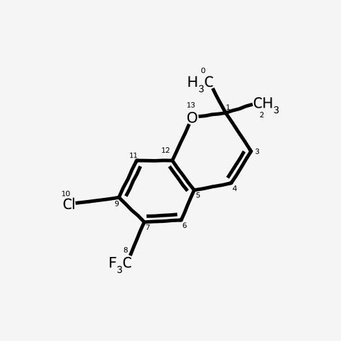 CC1(C)C=Cc2cc(C(F)(F)F)c(Cl)cc2O1